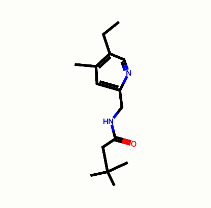 CCc1cnc(CNC(=O)CC(C)(C)C)cc1C